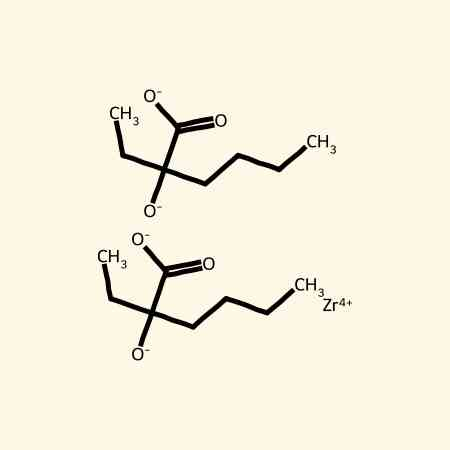 CCCCC([O-])(CC)C(=O)[O-].CCCCC([O-])(CC)C(=O)[O-].[Zr+4]